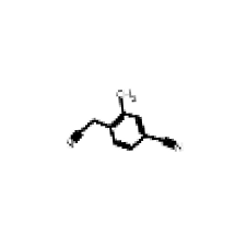 Cc1cc(C#N)ccc1CC#N